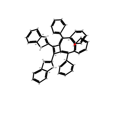 c1ccc(C(=C2C(=C(c3ccccc3)c3ccccc3)C(c3nc4ccccc4s3)=C2c2nc3ccccc3s2)c2ccccc2)cc1